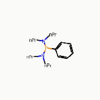 CCCN(CCC)P(c1ccccc1)N(CCC)CCC